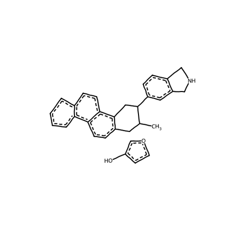 CC1Cc2ccc3c(ccc4ccccc43)c2CC1c1ccc2c(c1)CNC2.Oc1ccoc1